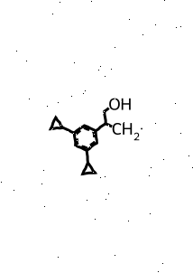 [CH2]C(CO)c1cc(C2CC2)cc(C2CC2)c1